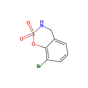 O=S1(=O)NCc2cccc(Br)c2O1